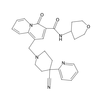 N#CC1(c2ccccn2)CCN(Cc2cc(C(=O)NC3CCOCC3)c(=O)n3ccccc23)CC1